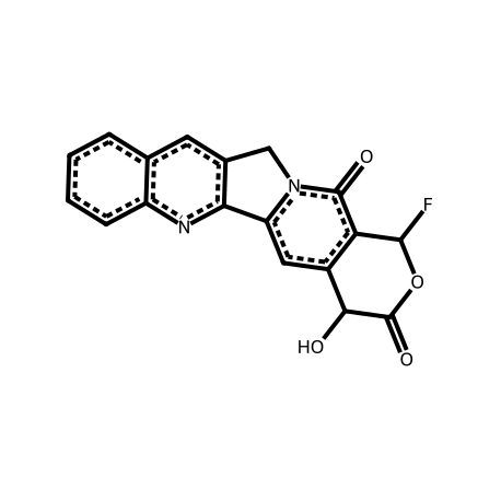 O=C1OC(F)c2c(cc3n(c2=O)Cc2cc4ccccc4nc2-3)C1O